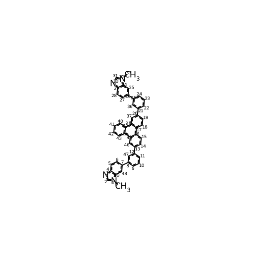 Cn1cnc2ccc(-c3cccc(-c4ccc5c6ccc(-c7cccc(-c8ccc9ncn(C)c9c8)c7)cc6c6ccccc6c5c4)c3)cc21